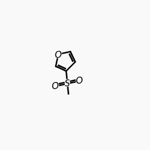 CS(=O)(=O)c1ccoc1